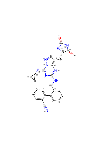 N#Cc1ccccc1-c1ccccc1CNc1nc(NC2CC2)n2ncc(/C=C3\NC(=O)NC3=O)c2n1